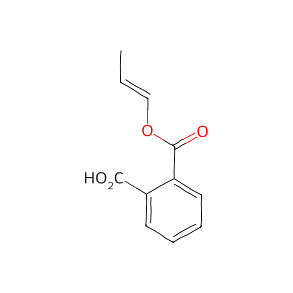 CC=COC(=O)c1ccccc1C(=O)O